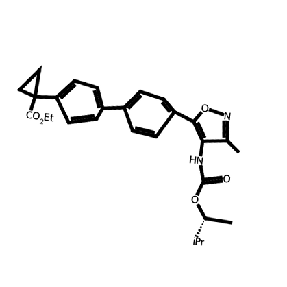 CCOC(=O)C1(c2ccc(-c3ccc(-c4onc(C)c4NC(=O)O[C@H](C)C(C)C)cc3)cc2)CC1